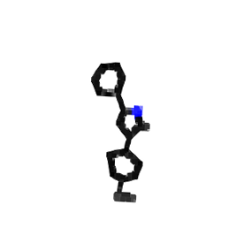 COc1ccc(-c2cc(-c3ccccc3)n[se]2)cc1